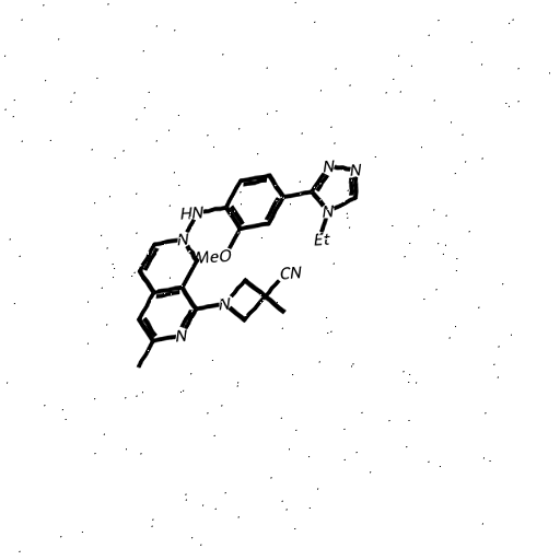 CCn1cnnc1-c1ccc(NN2C=Cc3cc(C)nc(N4CC(C)(C#N)C4)c3C2)c(OC)c1